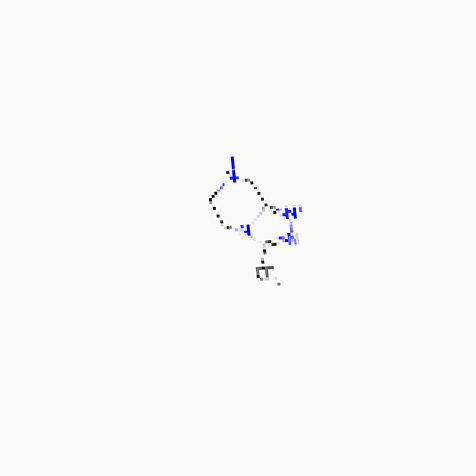 FC(F)(F)C1=N[N+]=C2CNCCN12